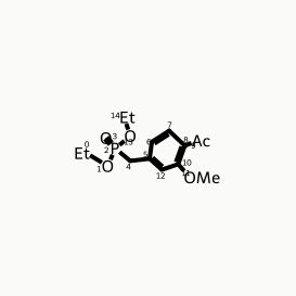 CCOP(=O)(Cc1ccc(C(C)=O)c(OC)c1)OCC